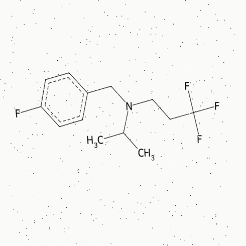 CC(C)N(CCC(F)(F)F)Cc1ccc(F)cc1